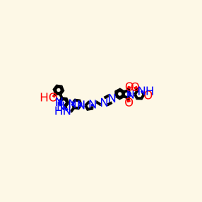 O=C1CCC(N2C(=O)c3ccc(N4CCN(CCN5CCC(N6CCN7c8cc(-c9ccccc9O)nnc8NCC7C6)C5)CC4)cc3C2=O)C(=O)N1